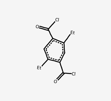 CCc1cc(C(=O)Cl)c(CC)cc1C(=O)Cl